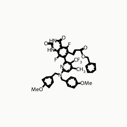 COc1ccc(CN(Cc2ccc(OC)cc2)c2cc(C)c(C(F)(F)F)c(-c3c(C=CC(=O)OCc4ccccc4)c(F)c4c(=O)[nH]c(=O)[nH]c4c3F)n2)cc1